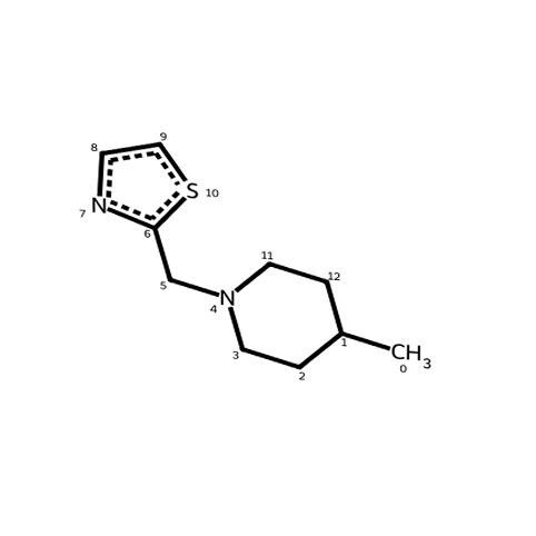 CC1CCN(Cc2nccs2)CC1